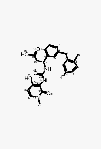 Cc1ccc(F)cc1Cc1cccc([C@H](CC(=O)O)NC(=O)Nc2c(O)ccn(C)c2=O)c1